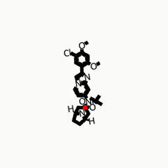 COc1cc(OC)c(-c2cn3ccc(NC4C[C@@H]5CC[C@@H](C4)N5C(=O)OC(C)(C)C)cc3n2)cc1Cl